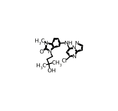 Cn1c(=O)n(CCC(C)(C)O)c2cc(Nc3cc(Cl)nc4ccnn34)ccc21